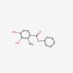 O=C(Cc1ccccc1)c1ccc(O)c(O)c1[N+](=O)[O-]